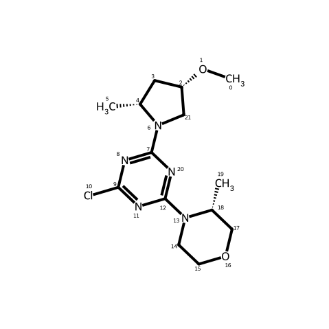 CO[C@H]1C[C@@H](C)N(c2nc(Cl)nc(N3CCOC[C@H]3C)n2)C1